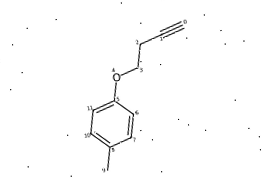 C#CCCOc1ccc(C)cc1